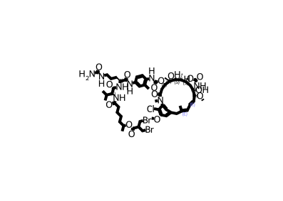 COc1cc2cc(c1Cl)N(C)C(=O)C[C@H](OC(=O)Nc1ccc(NC(=O)[C@H](CCCNC(N)=O)NC(=O)[C@@H](NC(=O)CCCCC(C)OC(=O)C(CBr)CBr)C(C)C)cc1C)[C@]1(C)O[C@H]1[C@H](C)[C@@H]1C[C@@](O)(NC(=O)O1)[C@H](OC)/C=C/C=C(\C)C2